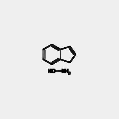 C1=Cc2ccccc2C1.NO